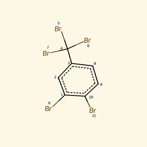 Brc1[c]c(C(Br)(Br)Br)ccc1Br